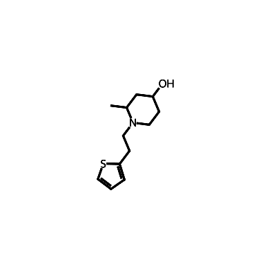 CC1CC(O)CCN1CCc1cccs1